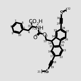 O=C(N[C@@H](Cc1ccccc1)C(=O)O)OCC1c2cc(C#CSI)ccc2-c2ccc(C#CSI)cc21